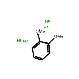 COc1ccccc1OC.F.F.F.F